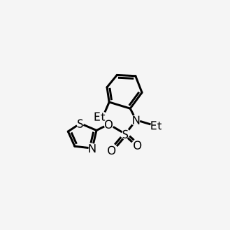 CCc1ccccc1N(CC)S(=O)(=O)Oc1nccs1